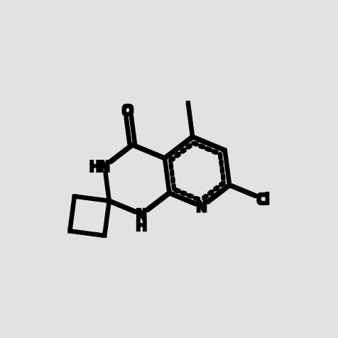 Cc1cc(Cl)nc2c1C(=O)NC1(CCC1)N2